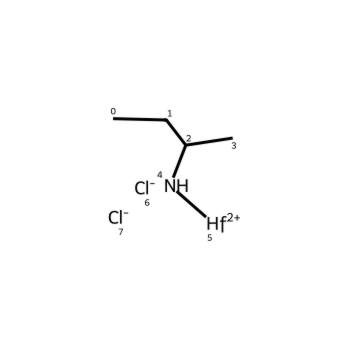 CCC(C)[NH][Hf+2].[Cl-].[Cl-]